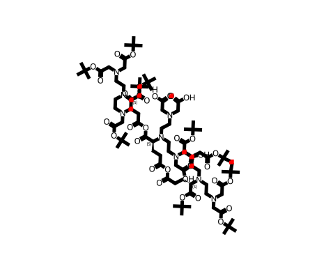 CC(C)(C)OC(=O)CN(CCN(CCN(CC(=O)OC(C)(C)C)CC(=O)OC(C)(C)C)[C@@H](CCC(=O)OC(=O)CC[C@@H](C(=O)OC(=O)CC[C@@H](C(=O)OC(C)(C)C)N(CCN(CC(=O)OC(C)(C)C)CC(=O)OC(C)(C)C)CCN(CC(=O)OC(C)(C)C)CC(=O)OC(C)(C)C)N(CCN(CC(=O)O)CC(=O)O)CCN(CC(=O)O)CC(=O)O)C(=O)OC(C)(C)C)CC(=O)OC(C)(C)C